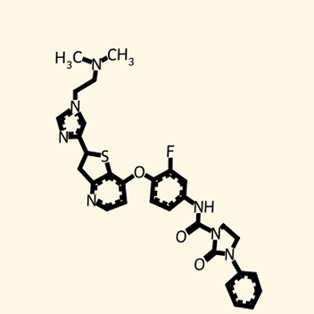 CN(C)CCn1cnc(C2Cc3nccc(Oc4ccc(NC(=O)N5CCN(c6ccccc6)C5=O)cc4F)c3S2)c1